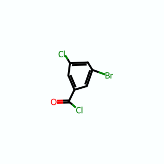 O=C(Cl)c1cc(Cl)cc(Br)c1